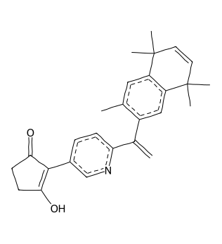 C=C(c1ccc(C2=C(O)CCC2=O)cn1)c1cc2c(cc1C)C(C)(C)C=CC2(C)C